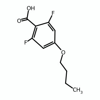 CCCCOc1cc(F)c(C(=O)O)c(F)c1